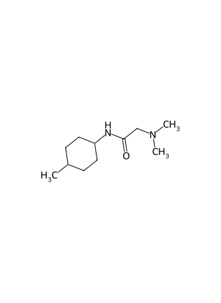 CC1CCC(NC(=O)CN(C)C)CC1